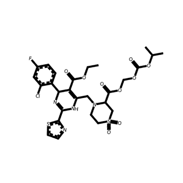 CCOC(=O)C1=C(CN2CCS(=O)(=O)CC2C(=O)OCOC(=O)OC(C)C)NC(c2nccs2)=NC1c1ccc(F)cc1Cl